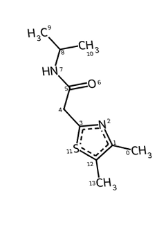 Cc1nc(CC(=O)NC(C)C)sc1C